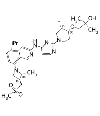 CC(C)c1ccc(N2C[C@H](CS(C)(=O)=O)[C@H]2C)c2cnc(Nc3ccnc(N4CC[C@@H](OCC(C)(C)O)[C@@H](F)C4)n3)cc12